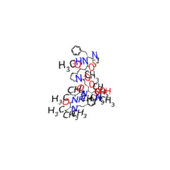 CC[C@H](C)[C@@H]([C@@H](CC(=O)N1CCC[C@H]1[C@H](OC)[C@@H](C)C(=O)N[C@@H](Cc1ccccc1)c1nccs1)OC)N(C)C(=O)[C@@H](NC(=O)[C@H](C(C)C)N(C)CCc1ccc(N(C)C(=O)O)cc1)C(C)C